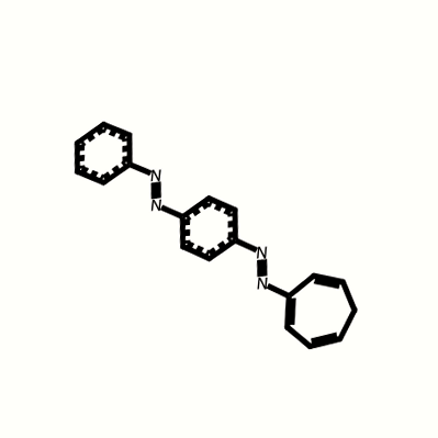 C1=CCC=CC(N=Nc2ccc(N=Nc3ccccc3)cc2)=C1